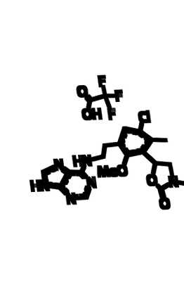 COc1c(CCNc2ncnc3[nH]cnc23)cc(Cl)c(C)c1C1CN(C(C)C)C(=O)O1.O=C(O)C(F)(F)F